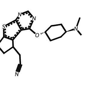 CN(C)[C@H]1CC[C@H](Oc2ncnc3sc4c(c23)C(CC#N)CC4)CC1